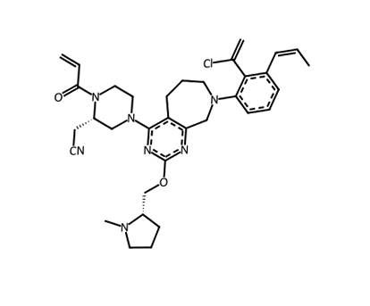 C=CC(=O)N1CCN(c2nc(OC[C@@H]3CCCN3C)nc3c2CCCN(c2cccc(/C=C\C)c2C(=C)Cl)C3)C[C@@H]1CC#N